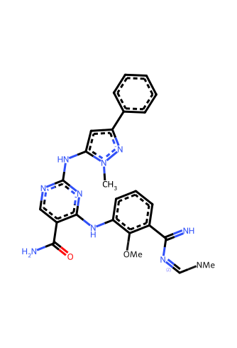 CN/C=N\C(=N)c1cccc(Nc2nc(Nc3cc(-c4ccccc4)nn3C)ncc2C(N)=O)c1OC